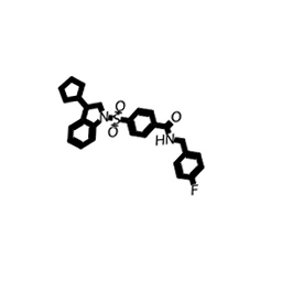 O=C(NCc1ccc(F)cc1)c1ccc(S(=O)(=O)N2CC(C3CCCC3)c3ccccc32)cc1